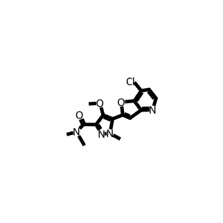 COc1c(C(=O)N(C)C)nn(C)c1-c1cc2nccc(Cl)c2o1